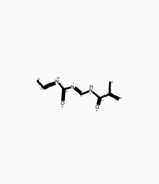 C=C(C)C(=O)NC=NC(=O)N=CC